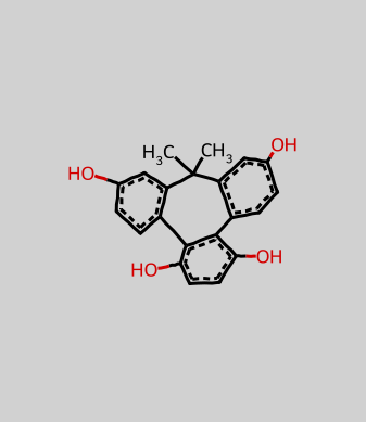 CC1(C)c2cc(O)ccc2-c2c(O)ccc(O)c2-c2ccc(O)cc21